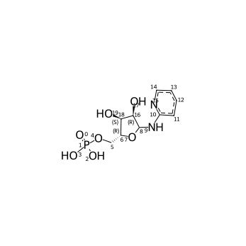 O=P(O)(O)OC[C@H]1OC(Nc2ccccn2)[C@H](O)[C@@H]1O